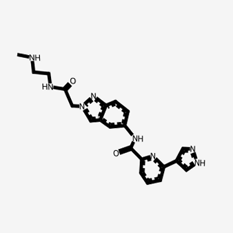 CNCCNC(=O)Cn1cc2cc(NC(=O)c3cccc(-c4cn[nH]c4)n3)ccc2n1